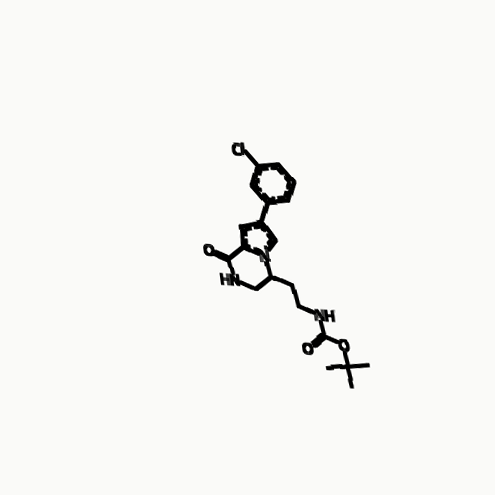 CC(C)(C)OC(=O)NCCC1CNC(=O)c2cc(-c3cccc(Cl)c3)cn21